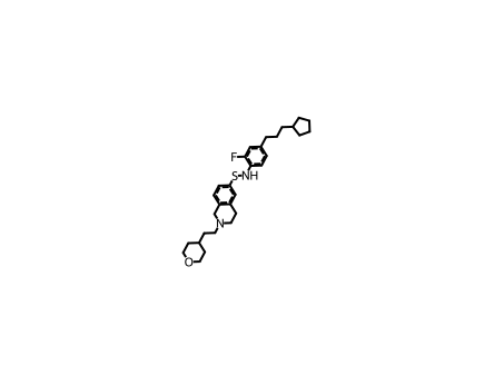 Fc1cc(CCCC2CCCC2)ccc1NSc1ccc2c(c1)CCN(CCC1CCOCC1)C2